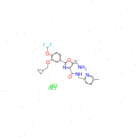 Cc1ccc(CNC(=O)c2nc(-c3ccc(OC(F)F)c(OCC4CC4)c3)oc2[C@H](C)N)nc1.Cl.Cl